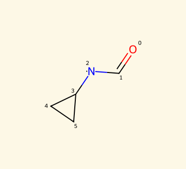 O=C[N]C1CC1